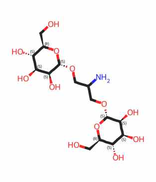 NC(CO[C@H]1O[C@H](CO)[C@@H](O)[C@H](O)[C@@H]1O)CO[C@H]1O[C@H](CO)[C@@H](O)[C@H](O)[C@@H]1O